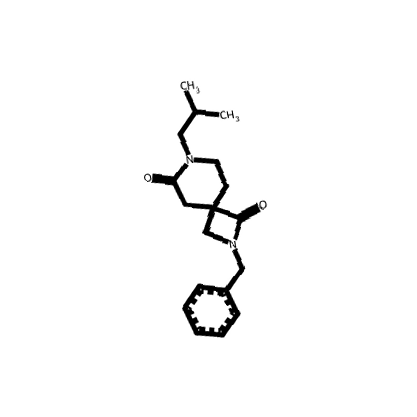 CC(C)CN1CCC2(CC1=O)CN(Cc1ccccc1)C2=O